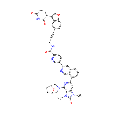 Cn1c(=O)n(C)c2c(N3CC4CCC(C3)O4)nc(-c3cccc4cc(-c5ccc(C(=O)NCC#Cc6ccc7occ(C8CCC(=O)NC8=O)c7c6)nc5)ncc34)cc21